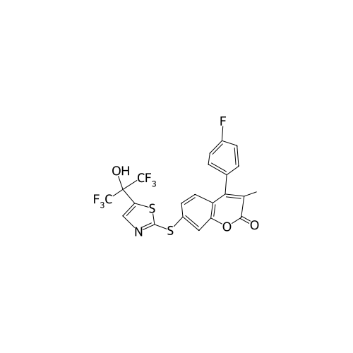 Cc1c(-c2ccc(F)cc2)c2ccc(Sc3ncc(C(O)(C(F)(F)F)C(F)(F)F)s3)cc2oc1=O